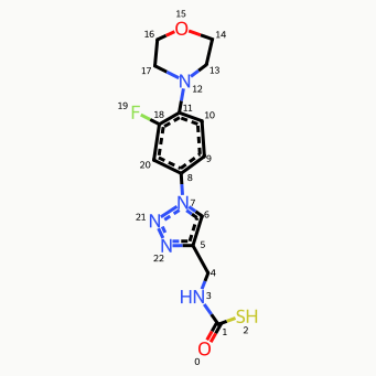 O=C(S)NCc1cn(-c2ccc(N3CCOCC3)c(F)c2)nn1